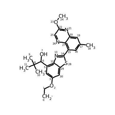 [CH2]COc1cc(C(O)C(C)(C)C)c2nc(-c3cc(C)cc4nc(OC)cnc34)sc2c1